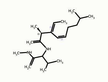 C=C(NC)C(NC(=C)[C@@H](C)C(/C=C\CCC(C)C)=C/C)C(C)C